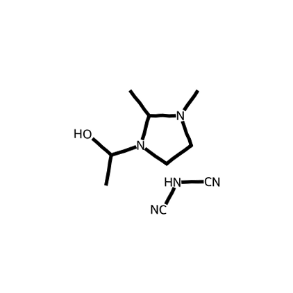 CC(O)N1CCN(C)C1C.N#CNC#N